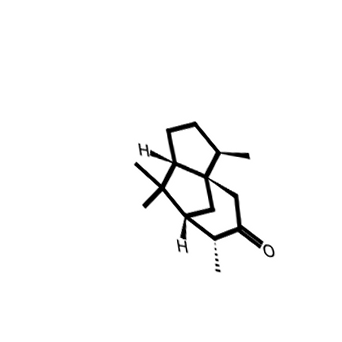 C[C@@H]1CC[C@H]2C(C)(C)[C@@H]3C[C@@]12CC(=O)[C@@H]3C